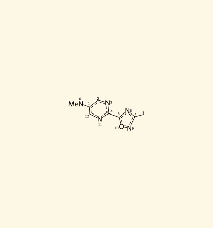 CNc1cnc(-c2nc(C)no2)nc1